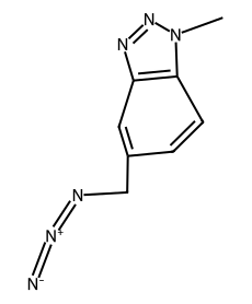 Cn1nnc2cc(CN=[N+]=[N-])ccc21